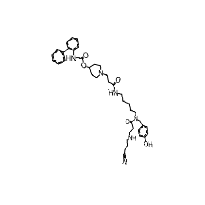 N#CCCCNCCC(=O)N(CCCCCNC(=O)CCN1CCC(OC(=O)Nc2ccccc2-c2ccccc2)CC1)Cc1ccc(O)cc1